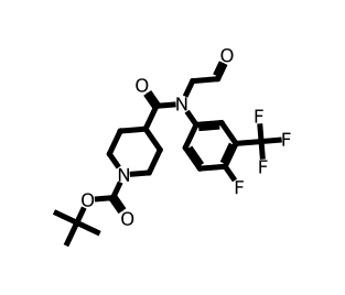 CC(C)(C)OC(=O)N1CCC(C(=O)N(CC=O)c2ccc(F)c(C(F)(F)F)c2)CC1